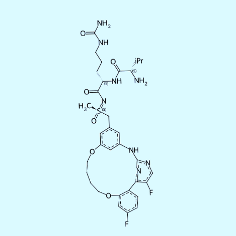 CC(C)[C@H](N)C(=O)N[C@@H](CCCNC(N)=O)C(=O)N=[S@@](C)(=O)Cc1cc2cc(c1)OCCCCOc1cc(F)ccc1-c1nc(ncc1F)N2